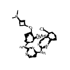 COc1cc(Nc2nccc(Nc3ncc4c(Cl)cccc4n3)n2)ccc1OC1CC(N(C)C)C1